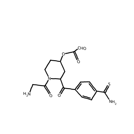 NCC(=O)N1CCC(OC(=O)C=O)CC1C(=O)c1ccc(C(N)=S)cc1